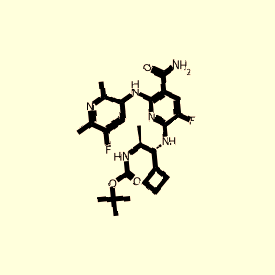 CC1=NC(C)C(Nc2nc(N[C@H](C3CCC3)[C@H](C)NC(=O)OC(C)(C)C)c(F)cc2C(N)=O)C=C1F